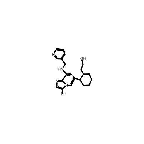 OCCC1CCCCC1c1cn2c(Br)cnc2c(NCc2cccnc2)n1